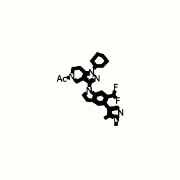 CC(=O)N1CCc2c(c(N3CCc4cc(-c5cnn(C)c5C)c(C(F)F)cc43)nn2C2CCCCC2)C1